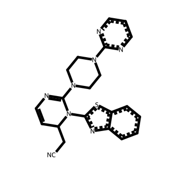 N#CCC1C=CN=C(N2CCN(c3ncccn3)CC2)N1c1nc2ccccc2s1